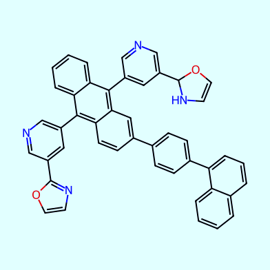 C1=COC(c2cncc(-c3c4ccccc4c(-c4cncc(-c5ncco5)c4)c4ccc(-c5ccc(-c6cccc7ccccc67)cc5)cc34)c2)N1